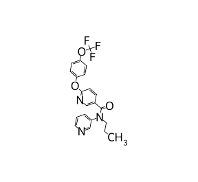 CCCN(C(=O)c1ccc(Oc2ccc(OC(F)(F)F)cc2)nc1)c1cccnc1